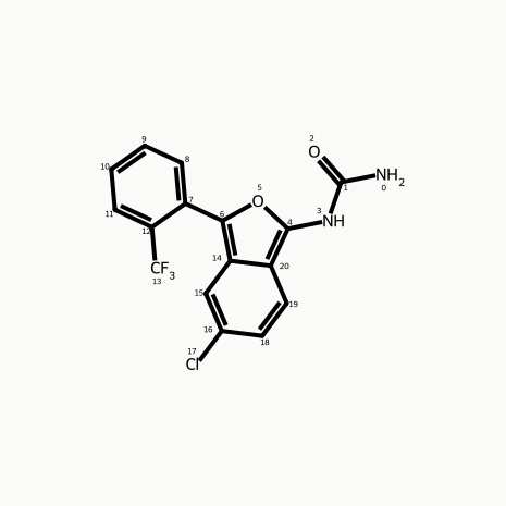 NC(=O)Nc1oc(-c2ccccc2C(F)(F)F)c2cc(Cl)ccc12